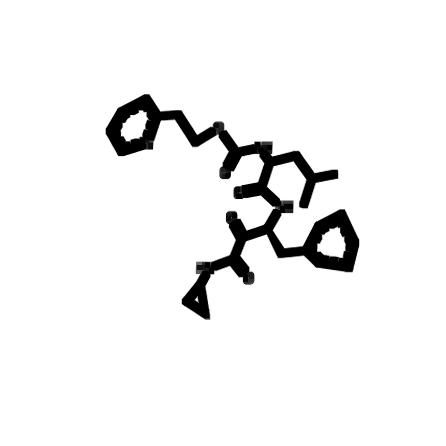 CC(C)CC(NC(=O)OCCc1ccccn1)C(=O)N[C@@H](Cc1ccccc1)C(=O)C(=O)NC1CC1